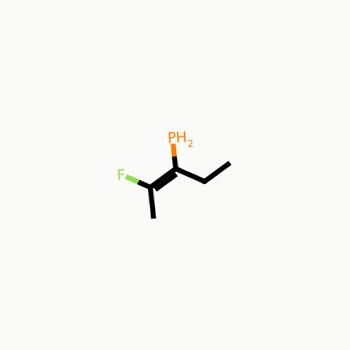 CC/C(P)=C(\C)F